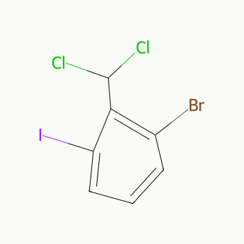 ClC(Cl)c1c(Br)cccc1I